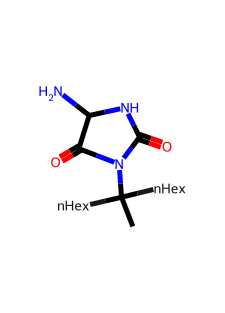 CCCCCCC(C)(CCCCCC)N1C(=O)NC(N)C1=O